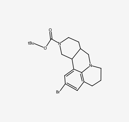 CC(C)(C)OC(=O)N1CCC2CN3CCCc4cc(Br)cc(c43)C2C1